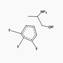 CC(N)CO.Fc1cccc(F)c1F